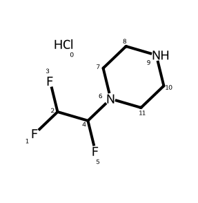 Cl.FC(F)C(F)N1CCNCC1